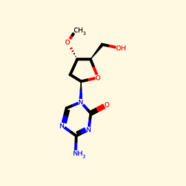 CO[C@H]1C[C@H](n2cnc(N)nc2=O)O[C@@H]1CO